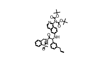 C=CCc1cccc(C(Nc2ccc3c(N(C(=O)OC(C)(C)C)C(=O)OC(C)(C)C)nccc3c2)C(=O)NCc2ccccc2S(C)(=O)=O)c1